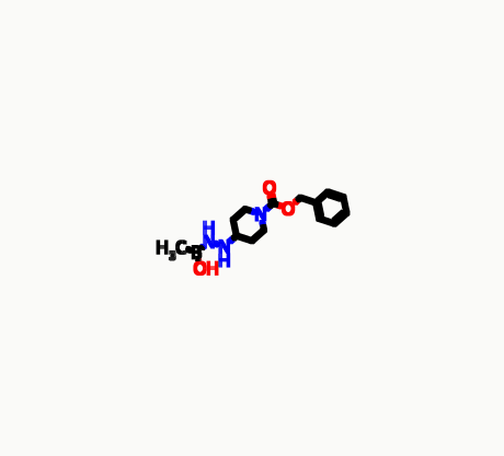 CB(O)NNC1CCN(C(=O)OCc2ccccc2)CC1